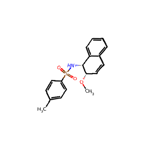 CO[C@H]1C=Cc2ccccc2[C@H]1NS(=O)(=O)c1ccc(C)cc1